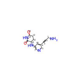 NCC#Cc1cncc(NC2CCC(=O)NC2=O)c1